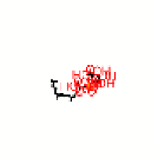 CC(C)=CCC/C(C)=C/CC/C(C)=C\CO[C@@H](COP(=O)(O)O[C@H]1OC(C(=O)O)[C@H](O)[C@H](O)C1O)C(=O)O